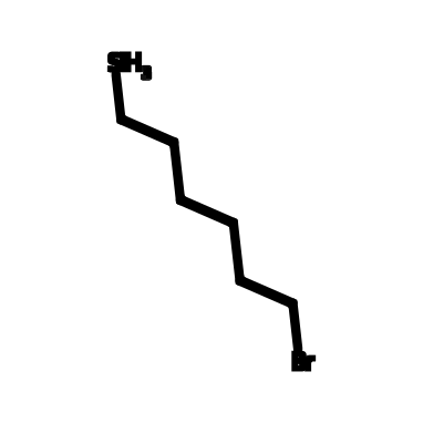 [SiH3]CCCCCCBr